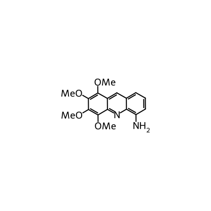 COc1c(OC)c(OC)c2nc3c(N)cccc3cc2c1OC